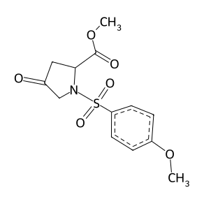 COC(=O)C1CC(=O)CN1S(=O)(=O)c1ccc(OC)cc1